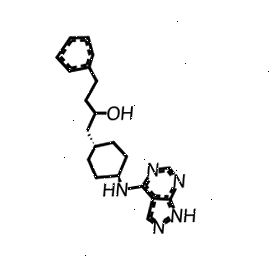 OC(CCc1ccccc1)C[C@H]1CC[C@H](Nc2ncnc3[nH]ncc23)CC1